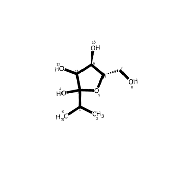 CC(C)C1(O)O[C@@H](CO)[C@H](O)C1O